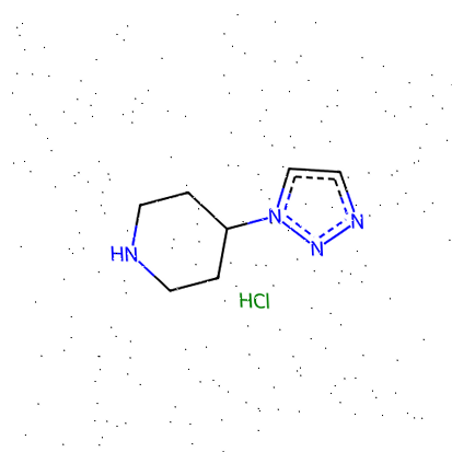 Cl.c1cn(C2CCNCC2)nn1